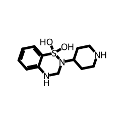 OS1(O)c2ccccc2NCN1C1CCNCC1